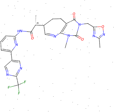 Cc1noc(Cn2c(=O)c3c(n(C)c2=O)N=CC([C@@H](C)C(=O)Nc2cccc(-c4cnc(C(F)(F)F)nc4)n2)CC3)n1